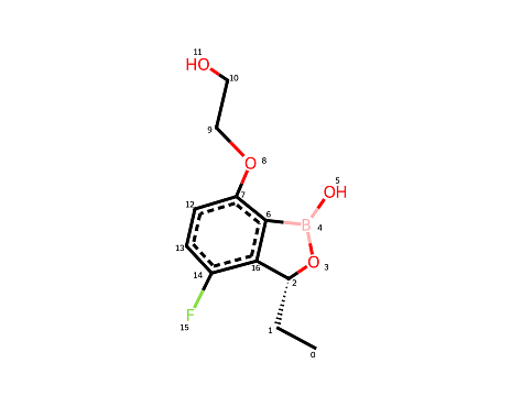 CC[C@H]1OB(O)c2c(OCCO)ccc(F)c21